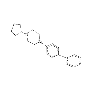 c1ccc(-c2ccc(N3CCN(C4CCCC4)CC3)cc2)cc1